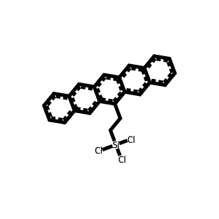 Cl[Si](Cl)(Cl)CCc1c2cc3ccccc3cc2cc2cc3ccccc3cc12